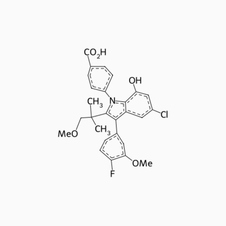 COCC(C)(C)c1c(-c2ccc(F)c(OC)c2)c2cc(Cl)cc(O)c2n1-c1ccc(C(=O)O)cc1